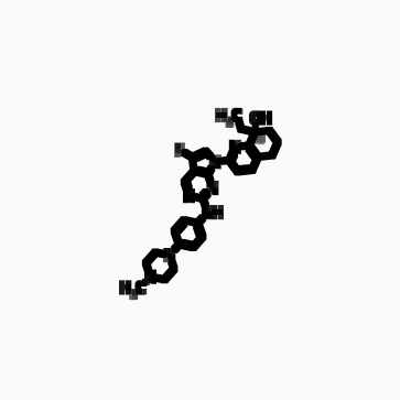 CC[C@]1(O)CCCc2ccc(-n3cc(F)c4cnc(Nc5ccc(N6CCN(C)CC6)cc5)nc43)nc21